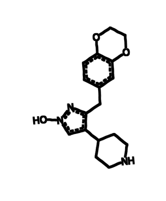 On1cc(C2CCNCC2)c(Cc2ccc3c(c2)OCCO3)n1